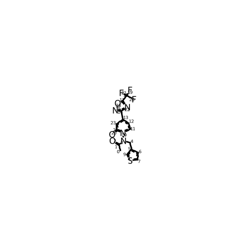 CC(=O)N(Cc1ccsc1)n1ccc(-c2noc(C(F)(F)F)n2)cc1=O